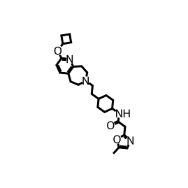 Cc1cnc(CC(=O)NC2CCC(CCN3CCc4ccc(OC5CCC5)nc4CC3)CC2)o1